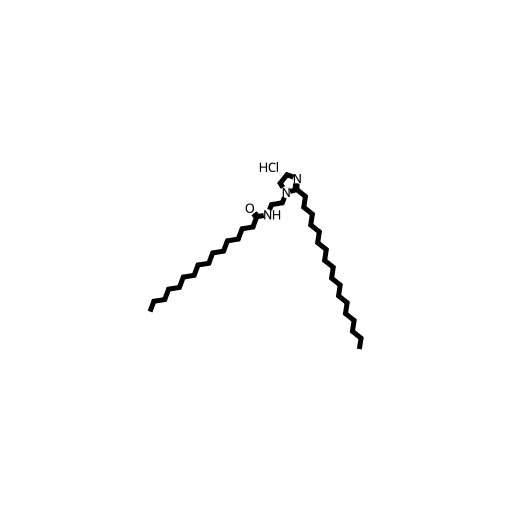 CCCCCCCCCCCCCCCCCCC1=NCCN1CCNC(=O)CCCCCCCCCCCCCCC.Cl